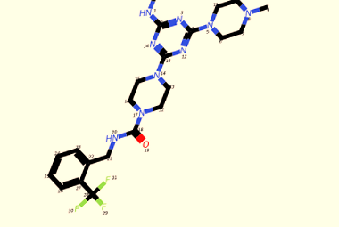 CNc1nc(N2CCN(C)CC2)nc(N2CCN(C(=O)NCc3ccccc3C(F)(F)F)CC2)n1